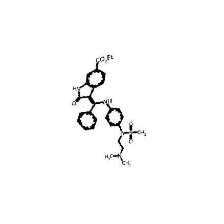 CCOC(=O)c1ccc2c(c1)NC(=O)C2=C(Nc1ccc(N(CCN(C)C)S(C)(=O)=O)cc1)c1ccccc1